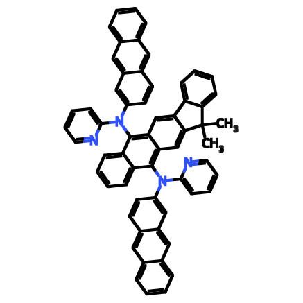 CC1(C)c2ccccc2-c2cc3c(N(c4ccc5cc6ccccc6cc5c4)c4ccccn4)c4ccccc4c(N(c4ccc5cc6ccccc6cc5c4)c4ccccn4)c3cc21